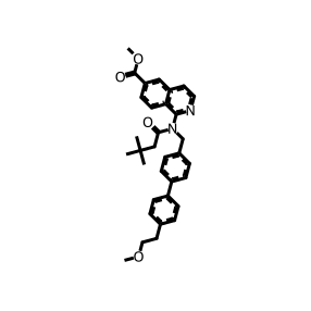 COCCc1ccc(-c2ccc(CN(C(=O)CC(C)(C)C)c3nccc4cc(C(=O)OC)ccc34)cc2)cc1